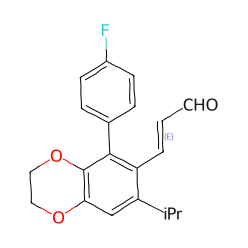 CC(C)c1cc2c(c(-c3ccc(F)cc3)c1/C=C/C=O)OCCO2